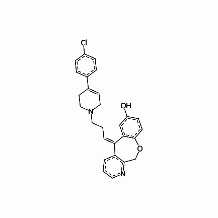 Oc1ccc2c(c1)C(=CCCN1CC=C(c3ccc(Cl)cc3)CC1)c1cccnc1CO2